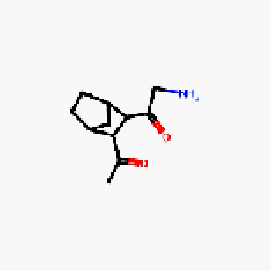 CC(=O)C1C2CCC(C2)C1C(=O)CN